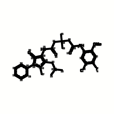 COc1cc(F)c(Cl)cc1NC(=O)CC(C)(C)CC(=O)Nc1c(CN(C)C)n(C)n(-c2ccccc2)c1=O